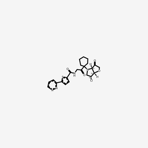 O=C(NCC(=O)C1(N2C[C@H](Cl)[C@H]3OCC(=O)[C@H]32)CCCCC1)c1ccc(-c2cccnn2)s1